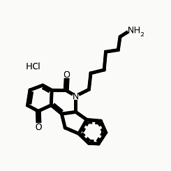 Cl.NCCCCCCN1C(=O)C2=CC=CC(=O)C2=C2Cc3ccccc3C21